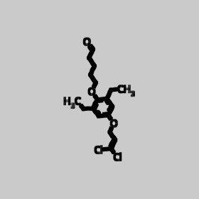 CCc1cc(OCC=C(Cl)Cl)cc(CC)c1OCCCCC=O